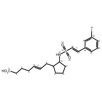 O=C(O)CCC/C=C/CC1CCCC1NS(=O)(=O)/C=C/c1cccc(I)c1